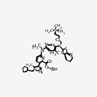 Cc1cc(N(C)c2ccc(-c3cnn(CC4CCCCC4)c3C)c(C(=O)OC(C)(C)C)n2)nnc1N(COCC[Si](C)(C)C)c1nc2cccnc2s1